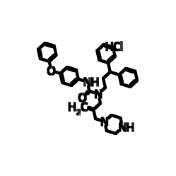 C=C(CN1CCNCC1)CN(CCC(c1ccccc1)c1ccccc1)C(=O)Nc1ccc(Oc2ccccc2)cc1.Cl